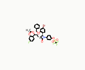 CC(=O)OC(CC[C@H]1C(=O)N(c2ccc(OS(=O)(=O)C(F)(F)F)cc2)[C@@H]1c1ccc(Br)cc1OCc1ccccc1)c1ccc(F)cc1